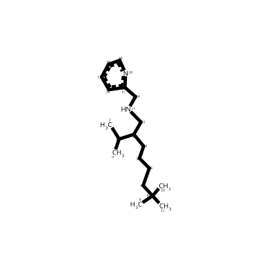 CC(C)C(CCCCC(C)(C)C)CNCc1ccccn1